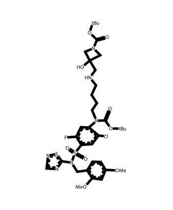 COc1ccc(CN(c2ncns2)S(=O)(=O)c2cc(Cl)c(N(CCCCNCC3(O)CN(C(=O)OC(C)(C)C)C3)C(=O)OC(C)(C)C)cc2F)c(OC)c1